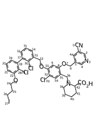 N#Cc1cncc(COc2cc(OCc3cccc(-c4cccc(OCCCI)c4Cl)c3Cl)c(Cl)cc2CN2CCCCC2C(=O)O)c1